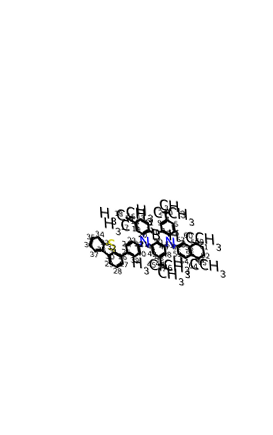 CC(C)(C)c1ccc2c(c1)B1c3ccc(C(C)(C)C)cc3N(c3ccc(-c4cccc5c4sc4ccccc45)cc3)c3cc(C(C)(C)C)cc(c31)N2c1ccc2c(c1)C(C)(C)CCC2(C)C